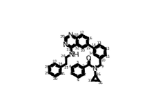 O=C(c1ccccc1)N(Cc1cccc(-c2ccc3ncnc(NCCc4ccccc4)c3c2)c1)C1CC1